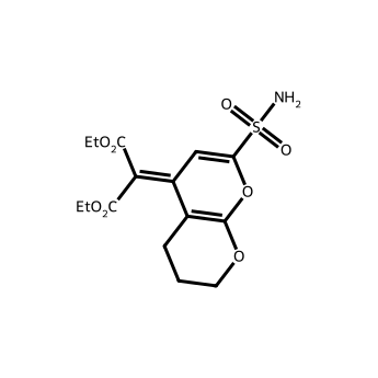 CCOC(=O)C(C(=O)OCC)=C1C=C(S(N)(=O)=O)OC2=C1CCCO2